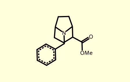 COC(=O)C1CCC2CCC1N2Cc1ccccc1